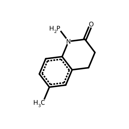 Cc1ccc2c(c1)CCC(=O)N2P